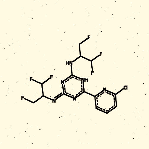 FCC(N=c1nc(NC(CF)C(F)F)[nH]c(-c2cccc(Cl)n2)n1)C(F)F